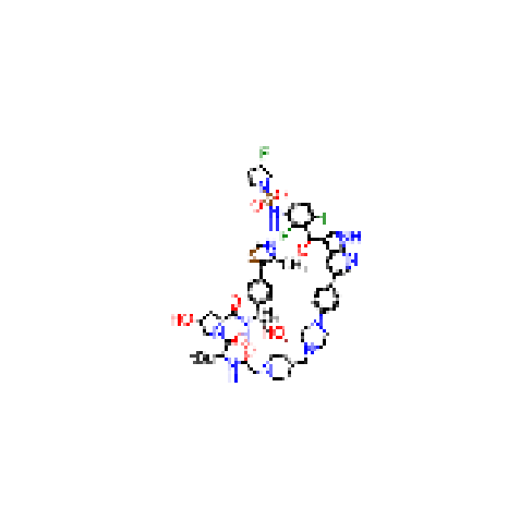 Cc1ncsc1-c1ccc([C@H](C)NC(=O)[C@@H]2C[C@@H](O)CN2C(=O)C(NC(=O)CN2CCC(CN3CCN(c4ccc(-c5cnc6[nH]cc(C(=O)c7c(F)ccc(NS(=O)(=O)N8CC[C@@H](F)C8)c7F)c6c5)cc4)C[C@H]3CO)CC2)C(C)(C)C)cc1